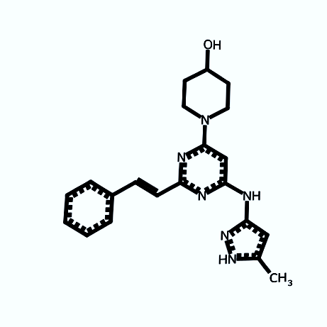 Cc1cc(Nc2cc(N3CCC(O)CC3)nc(C=Cc3ccccc3)n2)n[nH]1